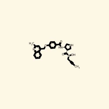 CC#CCN(O)C(=O)[C@H]1CNC[C@H]1NC(=O)c1ccc(OCc2cc(C)nc3ccccc23)cc1